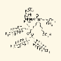 CCCCCCCC(=O)N(CCCN(C)C)C(CCCCCC(=O)O)CCCCC(C(=O)OC(CCC(F)(F)C(F)(F)C(F)(F)C(F)(F)C(F)(F)C(F)(F)F)CCC(F)(F)C(F)(F)C(F)(F)C(F)(F)C(F)(F)C(F)(F)F)C(CCC(F)(F)C(F)(F)C(F)(F)C(F)(F)C(F)(F)C(F)(F)F)CCC(F)(F)C(F)(F)C(F)(F)C(F)(F)C(F)(F)C(F)(F)F